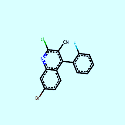 N#Cc1c(Cl)nc2cc(Br)ccc2c1-c1ccccc1F